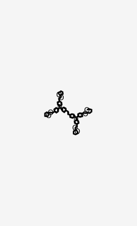 C(=Cc1ccc(N(c2ccc(COC3CCCCO3)cc2)c2ccc(COC3CCCCO3)cc2)cc1)c1ccc(N(c2ccc(COC3CCCCO3)cc2)c2ccc(COC3CCCCO3)cc2)cc1